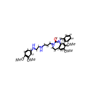 COc1ccc(NCCNCCCN2CCc3cc(OC)c(OC)cc3N(Cc3ccccc3)C2=O)cc1OC